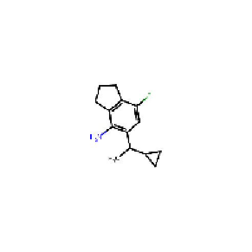 CC(c1cc(F)c2c(c1N)CCC2)C1CC1